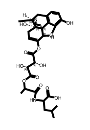 CC(C)CC(NC(=O)C(C)OC(=O)[C@H](O)[C@@H](O)C(=O)OC1=CC[C@@]2(O)[C@H]3Cc4ccc(O)c5c4[C@@]2(CCN3C)[C@H]1O5)C(=O)O